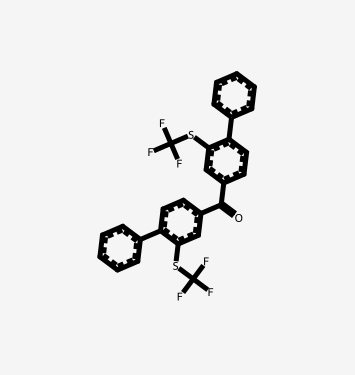 O=C(c1ccc(-c2ccccc2)c(SC(F)(F)F)c1)c1ccc(-c2ccccc2)c(SC(F)(F)F)c1